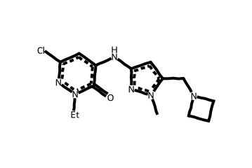 CCn1nc(Cl)cc(Nc2cc(CN3CCC3)n(C)n2)c1=O